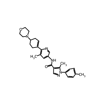 Cc1ccc(-n2ncc(C(=O)Nc3cnc(C4=CCC(N5CCOCC5)CC4)c(C)c3)c2C)cc1